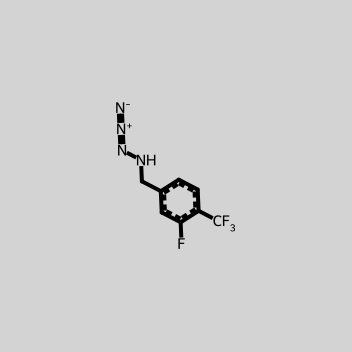 [N-]=[N+]=NNCc1ccc(C(F)(F)F)c(F)c1